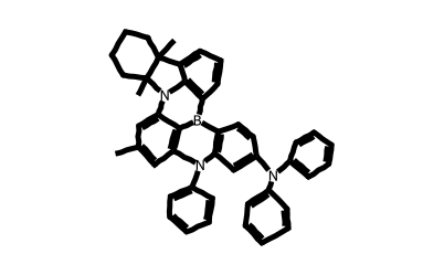 Cc1cc2c3c(c1)N1c4c(cccc4C4(C)CCCCC14C)B3c1ccc(N(c3ccccc3)c3ccccc3)cc1N2c1ccccc1